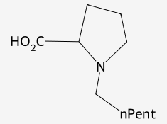 CCCCCCN1CCCC1C(=O)O